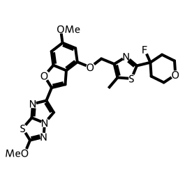 COc1cc(OCc2nc(C3(F)CCOCC3)sc2C)c2cc(-c3cn4nc(OC)sc4n3)oc2c1